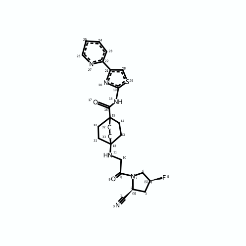 N#C[C@@H]1C[C@H](F)CN1C(=O)CNC12CCC(C(=O)Nc3nc(-c4ccccn4)cs3)(CC1)CC2